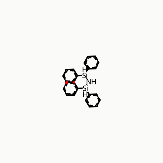 c1ccc([SiH](N[SiH](c2ccccc2)c2ccccc2)c2ccccc2)cc1